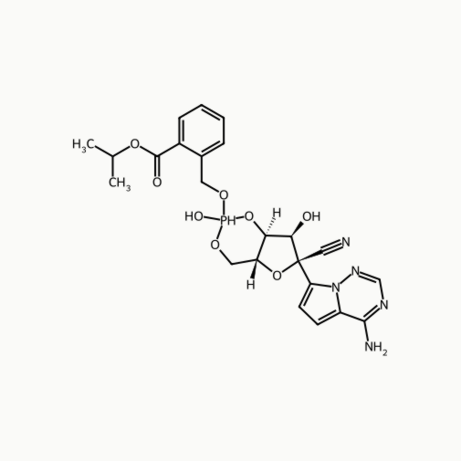 CC(C)OC(=O)c1ccccc1CO[PH]1(O)OC[C@H]2O[C@@](C#N)(c3ccc4c(N)ncnn34)[C@H](O)[C@@H]2O1